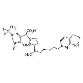 COc1c(F)cc(C2(C)CC2)cc1[C@@H](C(=O)O)N1CC[C@@H](N(C)CCCCCc2ccc3c(n2)NCCC3)C1